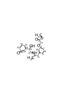 COC(=O)COc1cccc(CC(C)NCC(O)c2cccc(Cl)c2)c1